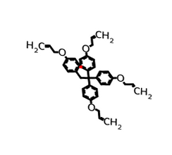 C=CCOc1ccc(CC(c2ccc(OCC=C)cc2)(c2ccc(OCC=C)cc2)c2ccc(OCC=C)cc2)cc1